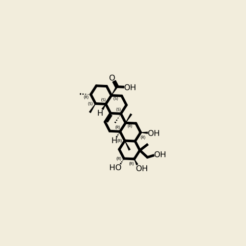 C[C@H]1[C@H](C)CC[C@]2(C(=O)O)CC[C@]3(C)C(=CC[C@@H]4[C@@]5(C)C[C@@H](O)[C@H](O)C(C)(CO)C5[C@H](O)C[C@]43C)[C@H]12